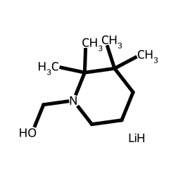 CC1(C)CCCN(CO)C1(C)C.[LiH]